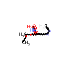 CCCCC/C=C\C/C=C\CCCCCCCCC(CCCCCCCCC(C)CCCCCCC)OC(=O)CNC(=O)CC(=O)O